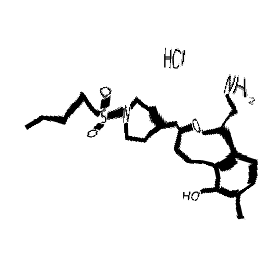 CCCCS(=O)(=O)N1CCC([C@@H]2Cc3c(ccc(C)c3O)[C@H](CN)O2)CC1.Cl